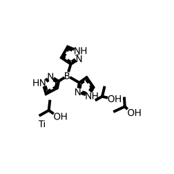 CC(C)O.CC(C)O.CC(C)O.[Ti].c1cc(B(c2cc[nH]n2)c2cc[nH]n2)n[nH]1